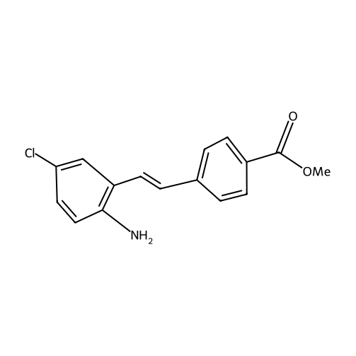 COC(=O)c1ccc(C=Cc2cc(Cl)ccc2N)cc1